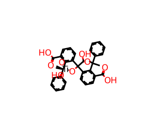 CC(C)(c1ccccc1)c1c(C(=O)O)cccc1C([O][Ti](=[O])[OH])(C(=O)O)c1cccc(C(=O)O)c1C(C)(C)c1ccccc1